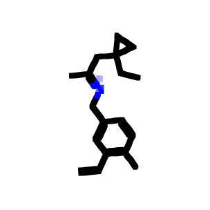 C=Cc1cc(C/N=C(\C)CC2(CC)CC2)ccc1C